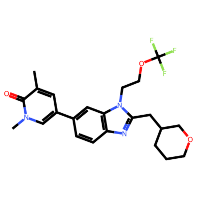 Cc1cc(-c2ccc3nc(CC4CCCOC4)n(CCOC(F)(F)F)c3c2)cn(C)c1=O